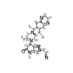 CC[C@H]1CN(C(C)c2ccc3nccnc3c2)[C@H](CC)CN1c1cc(=O)n(C)c2cn(CC#N)nc12